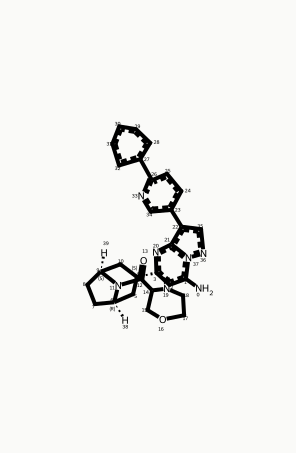 Nc1cc([C@@H]2C[C@H]3CC[C@@H](C2)N3C(=O)C2COCCN2)nc2c(-c3ccc(-c4ccccc4)nc3)cnn12